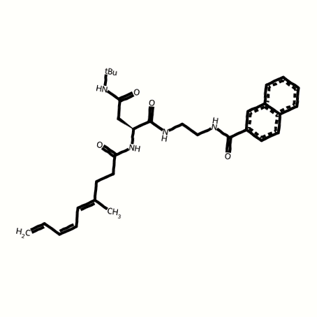 C=C/C=C\C=C(/C)CCC(=O)N[C@@H](CC(=O)NC(C)(C)C)C(=O)NCCNC(=O)c1ccc2ccccc2c1